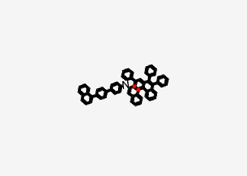 c1ccc(-c2c(-c3ccccc3)c3cc(-c4ccccc4N(c4ccc(-c5ccc(-c6cccc7ccccc67)cc5)cc4)c4ccc5ccccc5c4)ccc3c3ccccc23)cc1